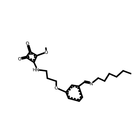 CCCCCCN=Cc1cccc(OCCCNc2c(OC)c(=O)c2=O)c1